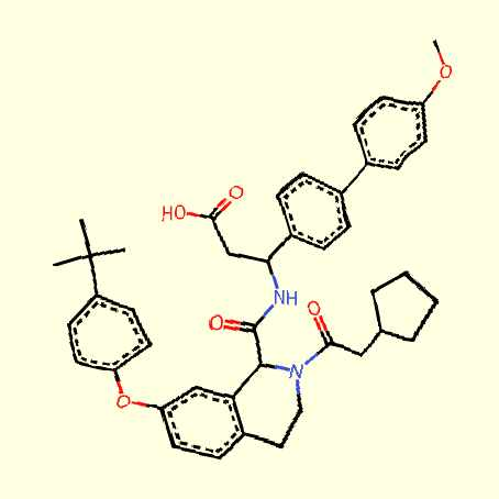 COc1ccc(-c2ccc(C(CC(=O)O)NC(=O)C3c4cc(Oc5ccc(C(C)(C)C)cc5)ccc4CCN3C(=O)CC3CCCC3)cc2)cc1